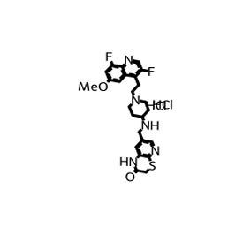 COc1cc(F)c2ncc(F)c(CCN3CCC(NCc4cnc5c(c4)NC(=O)CS5)CC3)c2c1.Cl.Cl